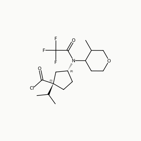 CC1COCCC1N(C(=O)C(F)(F)F)[C@@H]1CC[C@@](C(=O)Cl)(C(C)C)C1